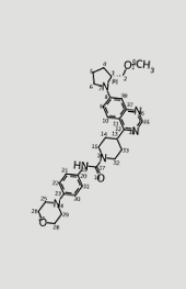 COC[C@H]1CCCN1c1ccc2c(C3CCN(C(=O)Nc4ccc(N5CCOCC5)cc4)CC3)ncnc2c1